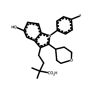 CC(C)(CCc1c(C2CCOCC2)n(-c2ccc(F)cc2)c2ccc(O)cc12)C(=O)O